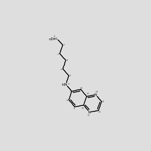 CCCCCCCCCCCCCCCNc1ccc2nccnc2c1